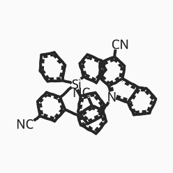 N#Cc1ccc([Si](c2ccccc2)(c2ccccc2)c2ccccc2)c(-c2cccc(-n3c4ccccc4c4cc(C#N)ccc43)c2C#N)c1